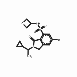 CC(C1CC1)N1Cc2cc(Br)cc(S(=O)(=O)NC3COC3)c2C1=O